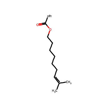 CCCC(=O)OCCCCCCC=C(C)C